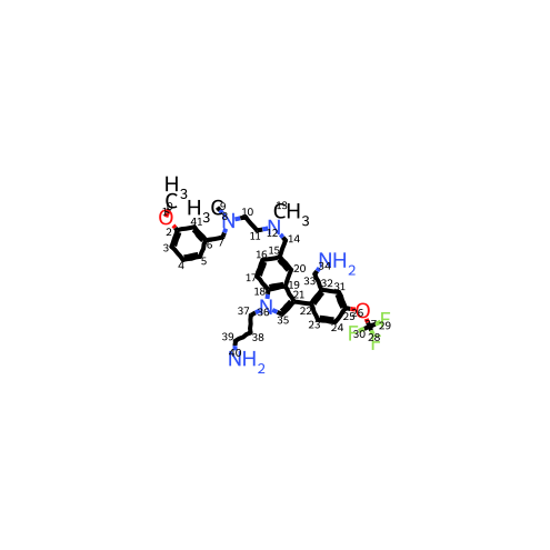 COc1cccc(CN(C)CCN(C)Cc2ccc3c(c2)c(-c2ccc(OC(F)(F)F)cc2CN)cn3CCCN)c1